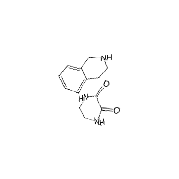 O=C1NCCNC1=O.c1ccc2c(c1)CCNC2